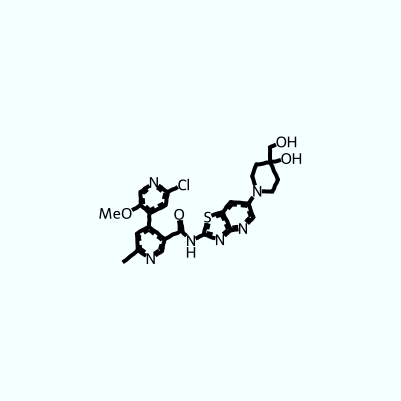 COc1cnc(Cl)cc1-c1cc(C)ncc1C(=O)Nc1nc2ncc(N3CCC(O)(CO)CC3)cc2s1